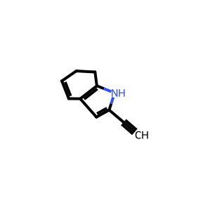 C#Cc1cc2c([nH]1)CCC=C2